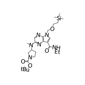 CCNC(=O)c1cn(COCC[Si](C)(C)C)c2ncc(N(C)C3CCN(C(=O)OC(C)(C)C)C3)nc12